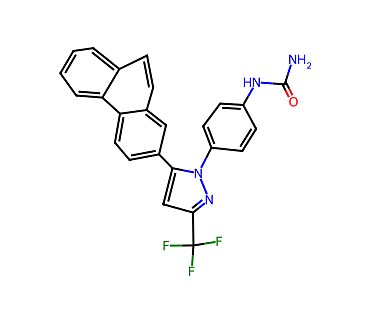 NC(=O)Nc1ccc(-n2nc(C(F)(F)F)cc2-c2ccc3c(ccc4ccccc43)c2)cc1